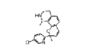 CC1NCCc2ccc3c(c21)OC(C)(c1ccc(Cl)cn1)C=C3